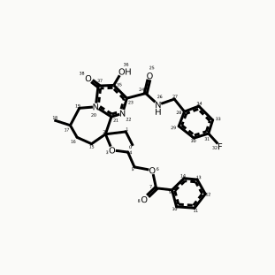 CCC1(OCCOC(=O)c2ccccc2)CCC(C)Cn2c1nc(C(=O)NCc1ccc(F)cc1)c(O)c2=O